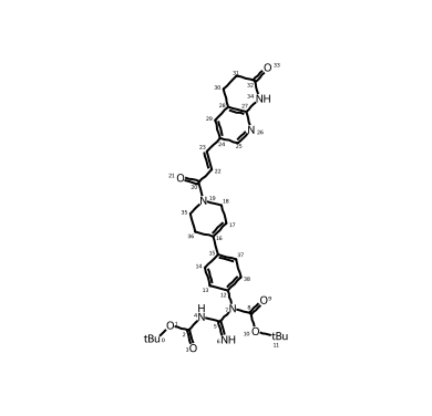 CC(C)(C)OC(=O)NC(=N)N(C(=O)OC(C)(C)C)c1ccc(C2=CCN(C(=O)/C=C/c3cnc4c(c3)CCC(=O)N4)CC2)cc1